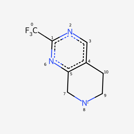 FC(F)(F)c1ncc2c(n1)C[N]CC2